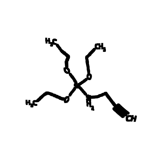 C#CC[SiH2][Si](OCC)(OCC)OCC